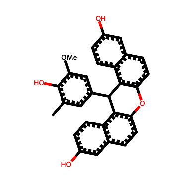 COc1cc(C2c3c(ccc4cc(O)ccc34)Oc3ccc4cc(O)ccc4c32)cc(C)c1O